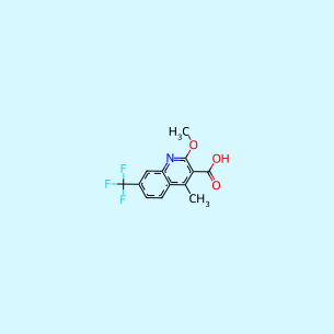 COc1nc2cc(C(F)(F)F)ccc2c(C)c1C(=O)O